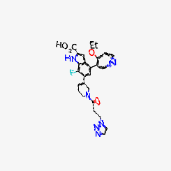 CCOc1ccncc1-c1cc(C2=CCCN(C(=O)CCn3ccnn3)C2)c(F)c2[nH]c(C(=O)O)cc12